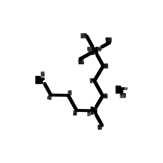 CN(CCCBr)CCC[N+](C)(C)C.[Br-]